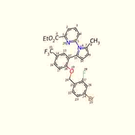 CCOC(=O)c1cccc(-n2c(C)ccc2-c2cc(C(F)(F)F)ccc2OCc2ccc(Br)cc2F)n1